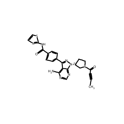 CC#CC(=O)N1CC[C@@H](n2nc(-c3ccc(C(=O)Nc4nccs4)cc3)c3c(N)ncnc32)C1